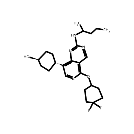 CCCC(C)Nc1ncc2c(OC3CCC(F)(F)CC3)ncc([C@H]3CC[C@H](O)CC3)c2n1